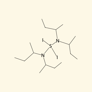 CCC(C)N(C(C)CC)S(I)(I)N(C(C)CC)C(C)CC